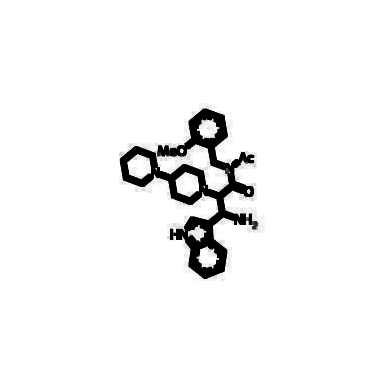 COc1ccccc1CN(C(C)=O)C(=O)C(C(N)c1c[nH]c2ccccc12)N1CCC(N2CCCCC2)CC1